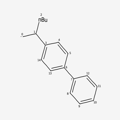 [CH2]C(CCCC)c1ccc(-c2ccccc2)cc1